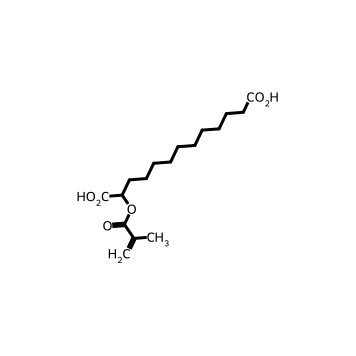 C=C(C)C(=O)OC(CCCCCCCCCCC(=O)O)C(=O)O